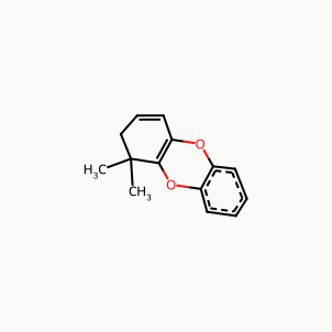 CC1(C)CC=CC2=C1Oc1ccccc1O2